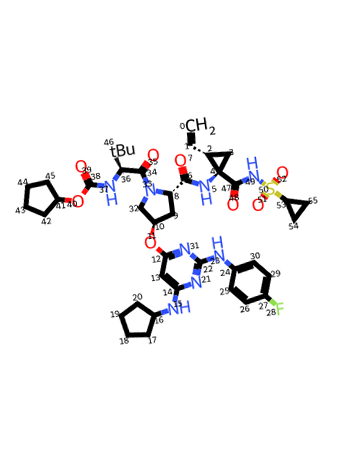 C=C[C@@H]1C[C@]1(NC(=O)[C@@H]1C[C@@H](Oc2cc(NC3CCCC3)nc(Nc3ccc(F)cc3)n2)CN1C(=O)[C@@H](NC(=O)OC1CCCC1)C(C)(C)C)C(=O)NS(=O)(=O)C1CC1